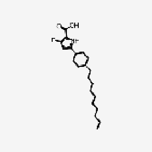 CCCCCCCCCC[C@H]1CC[C@@H](c2cc(F)c(C(=O)O)[nH]2)CC1